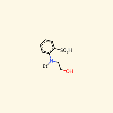 CCN(CCO)c1ccccc1S(=O)(=O)O